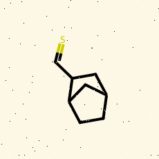 S=[C]C1CC2CCC1C2